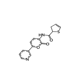 O=C(Nc1ccc(-c2cccnc2)oc1=O)C1CC=CS1